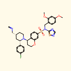 C=NC[C@@H]1CCN([C@@H]2CCOc3cc(S(=O)(=O)N(Cc4ccc(OC)cc4OC)c4ncns4)ccc32)[C@H](c2ccc(F)cc2)C1